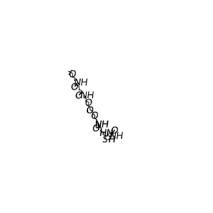 CC(C)(C)OCCCNC(=O)CCCC(=O)NCCCOCCOCCOCCCNC(=O)CCCC[C@@H]1SC[C@@H]2NC(=O)NC21